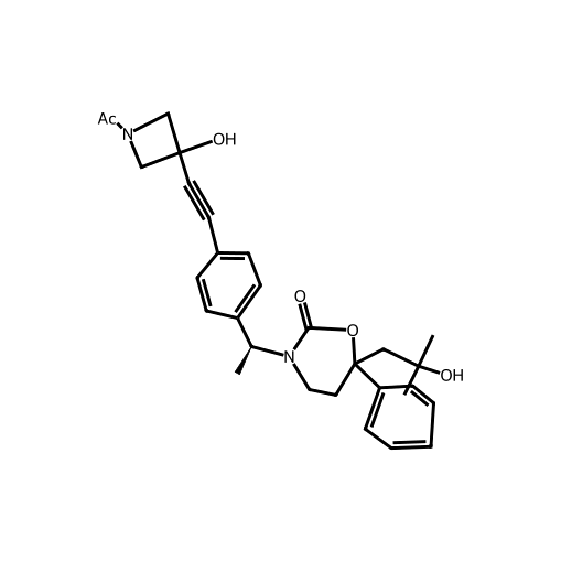 CC(=O)N1CC(O)(C#Cc2ccc([C@H](C)N3CCC(CC(C)(C)O)(c4ccccc4)OC3=O)cc2)C1